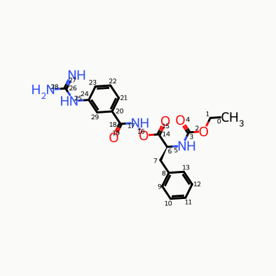 CCOC(=O)N[C@@H](Cc1ccccc1)C(=O)ONC(=O)c1cccc(NC(=N)N)c1